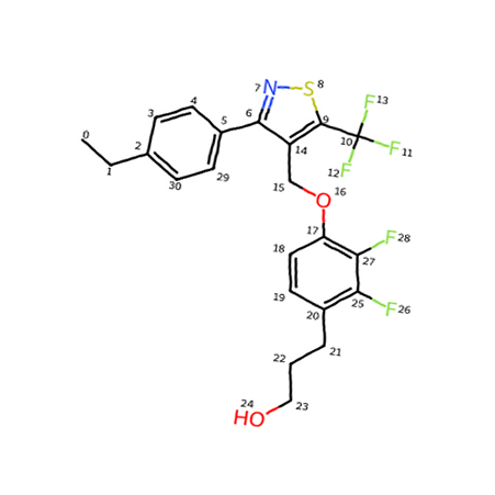 CCc1ccc(-c2nsc(C(F)(F)F)c2COc2ccc(CCCO)c(F)c2F)cc1